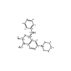 CC(=O)N1c2ccc(N3CCOCC3)cc2[C@H](Nc2ccccc2)C[C@@H]1C